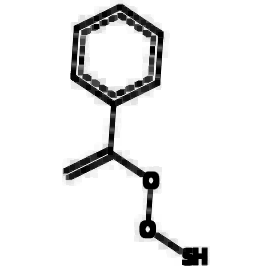 C=C(OOS)c1ccccc1